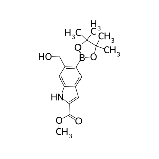 COC(=O)c1cc2cc(B3OC(C)(C)C(C)(C)O3)c(CO)cc2[nH]1